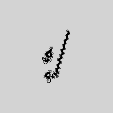 CCCCCCCCCCCCCCCCCC[N+](C)(C)CN1CCCC1=O.Cc1ccc(S(=O)(=O)[O-])cc1